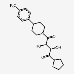 O=C([C@H](O)[C@@H](O)C(=O)N1CCC(c2ccc(C(F)(F)F)cc2)CC1)N1CCCC1